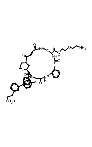 NCCOCCNC(=O)[C@@H]1CCNC(=O)/C=C/C(=O)N2CCC[C@](Cc3ccccc3)(C2)C(=O)N[C@@H](Cc2ccc(-c3cccc(CCC(=O)O)c3)cc2)C(=O)NCc2ccccc2CC(=O)N1